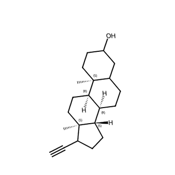 C#CC1CC[C@H]2[C@@H]3CCC4CC(O)CC[C@]4(C)[C@@H]3CC[C@]12C